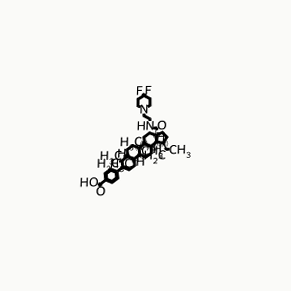 C=C(C)[C@@H]1CC[C@]2(C(=O)NCCN3CCC(F)(F)CC3)CC[C@]3(C)[C@H](CC[C@@H]4[C@@]5(C)CC=C(c6ccc(C(=O)O)cc6)C(C)(C)[C@@H]5CC[C@]43C)[C@@H]12